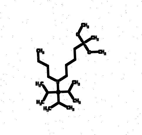 CCCCN(CCCC[Si](C)(OC)OC)[Si](C(C)C)(C(C)C)C(C)C